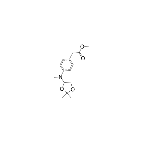 COC(=O)Cc1ccc(N(C)C2COC(C)(C)O2)cc1